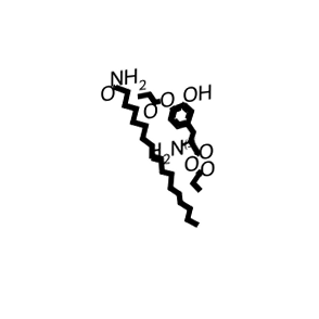 CCC(=O)OC(=O)[C@@H](N)Cc1ccc(OC(=O)CC)c(O)c1.CCCCCCCCC=CCCCCCCCC(N)=O